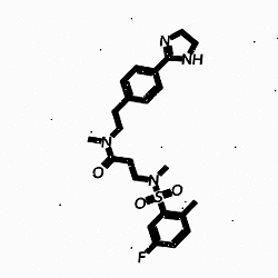 Cc1ccc(F)cc1S(=O)(=O)N(C)CCC(=O)N(C)CCc1ccc(C2=NCCN2)cc1